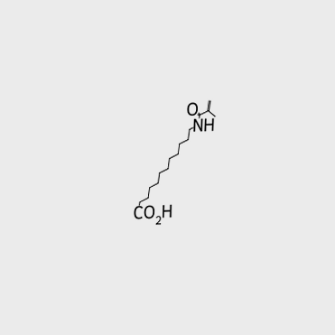 C=C(C)C(=O)NCCCCCCCCCCCC(=O)O